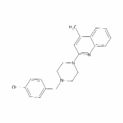 Cc1cc(N2CCN(Cc3ccc(Cl)cc3)CC2)nc2ccccc12